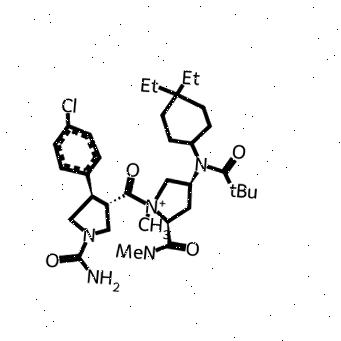 CCC1(CC)CCC(N(C(=O)C(C)(C)C)[C@H]2C[C@@H](C(=O)NC)[N+](C)(C(=O)[C@@H]3CN(C(N)=O)C[C@H]3c3ccc(Cl)cc3)C2)CC1